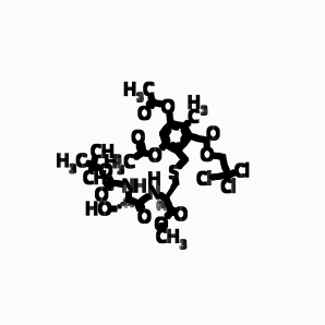 COC(=O)[C@H](CSCc1c(OC(C)=O)cc(OC(C)=O)c(C)c1C(=O)OCC(Cl)(Cl)Cl)NC(=O)[C@H](CO)NC(=O)OC(C)(C)C